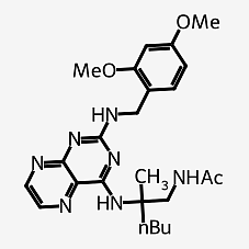 CCCCC(C)(CNC(C)=O)Nc1nc(NCc2ccc(OC)cc2OC)nc2nccnc12